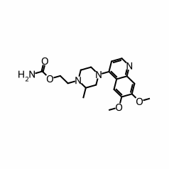 COc1cc2nccc(N3CCN(CCOC(N)=O)C(C)C3)c2cc1OC